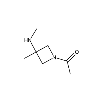 CNC1(C)CN(C(C)=O)C1